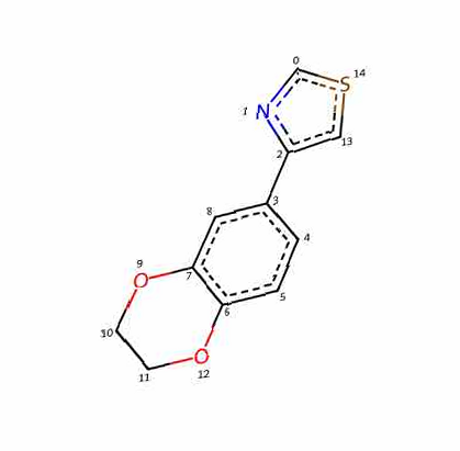 [c]1nc(-c2ccc3c(c2)OCCO3)cs1